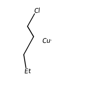 CCCCCCl.[Cu]